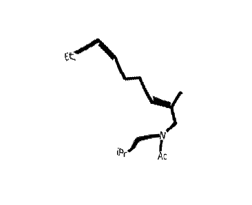 CC/C=C\CC/C=C(\C)CN(CC(C)C)C(C)=O